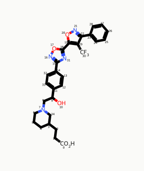 O=C(O)CCC1CCCN(CC(O)c2ccc(-c3noc(-c4onc(-c5ccccc5)c4C(F)(F)F)n3)cc2)C1